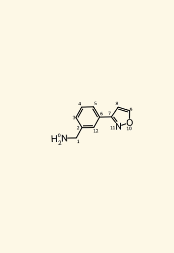 NCc1cccc(-c2[c]con2)c1